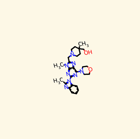 Cc1nc2ccccc2n1-c1nc(N2CCOCC2)c2nc(CN3CCC(C)(CO)CC3)n(C)c2n1